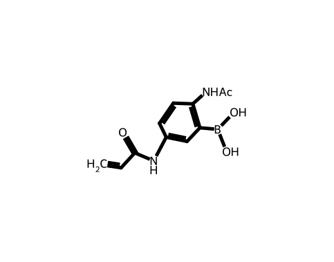 C=CC(=O)Nc1ccc(NC(C)=O)c(B(O)O)c1